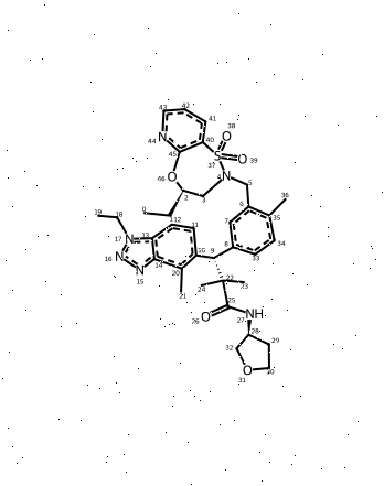 CC[C@@H]1CN(Cc2cc([C@@H](c3ccc4c(nnn4CC)c3C)C(C)(C)C(=O)N[C@H]3CCOC3)ccc2C)S(=O)(=O)c2cccnc2O1